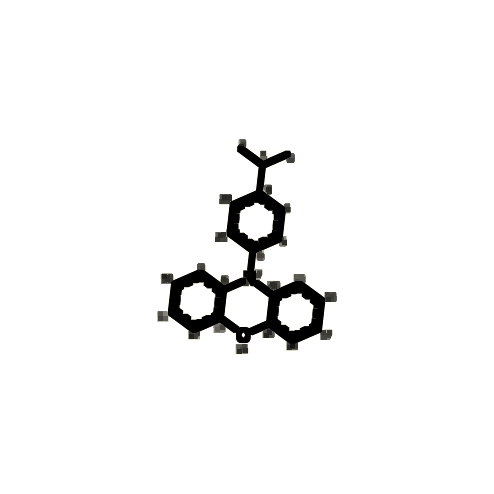 CC(C)c1ccc(N2c3ccccc3Oc3ccccc32)cc1